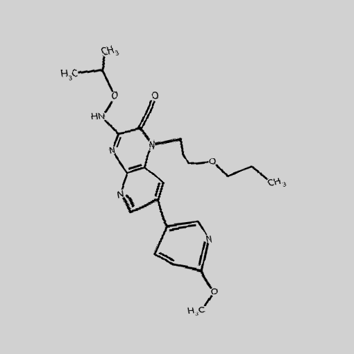 CCCOCCn1c(=O)c(NOC(C)C)nc2ncc(-c3ccc(OC)nc3)cc21